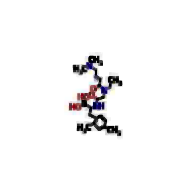 CCN(CC(=O)NC(Cc1ccc(C)cc1C)B(O)O)C(=O)/C=C/CN(C)C